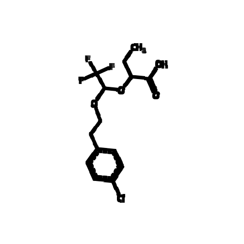 CCC(OC(OCCc1ccc(Cl)cc1)C(F)(F)F)C(=O)O